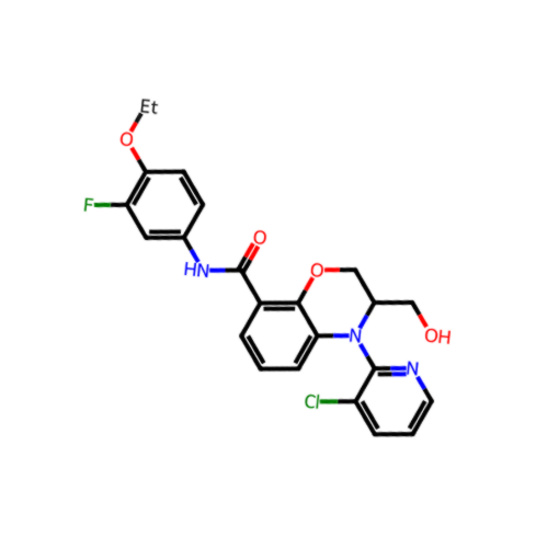 CCOc1ccc(NC(=O)c2cccc3c2OCC(CO)N3c2ncccc2Cl)cc1F